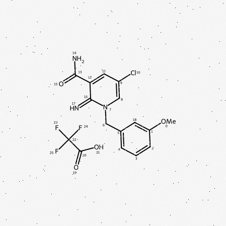 COc1cccc(Cn2cc(Cl)cc(C(N)=O)c2=N)c1.O=C(O)C(F)(F)F